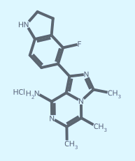 Cc1nc(N)c2c(-c3ccc4c(c3F)CCN4)nc(C)n2c1C.Cl